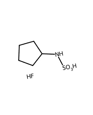 F.O=S(=O)(O)NC1CCCC1